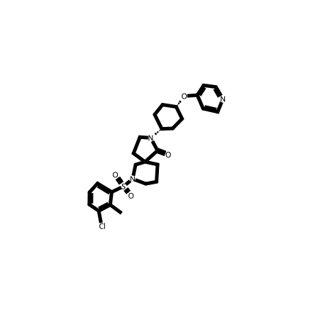 Cc1c(Cl)cccc1S(=O)(=O)N1CCCC2(CCN([C@H]3CC[C@@H](Oc4ccncc4)CC3)C2=O)C1